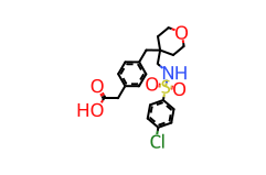 O=C(O)Cc1ccc(CC2(CNS(=O)(=O)c3ccc(Cl)cc3)CCOCC2)cc1